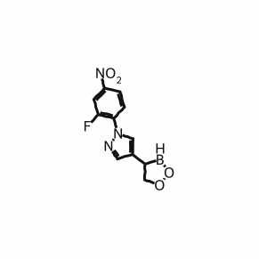 O=[N+]([O-])c1ccc(-n2cc(C3BOOC3)cn2)c(F)c1